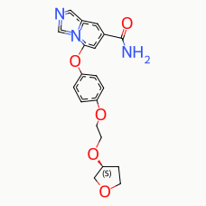 NC(=O)c1cc(Oc2ccc(OCCO[C@H]3CCOC3)cc2)n2cncc2c1